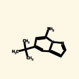 CC(C)(C)c1cc(N)n2nccc2c1